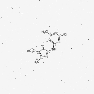 Cc1nc(Cl)cc(Nc2nc(C)c(C(=O)O)s2)n1